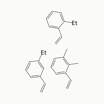 C=Cc1cccc(C)c1C.C=Cc1cccc(CC)c1.C=Cc1ccccc1CC